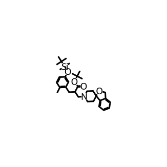 Cc1ccc(O[Si](C)(C)C(C)(C)C)cc1CC(CN1CCC2(CC1)OCc1ccccc12)C(=O)OC(C)(C)C